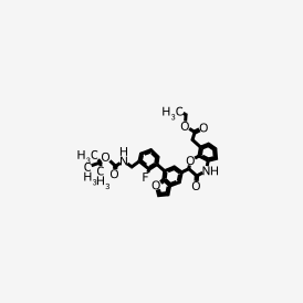 CCOC(=O)Cc1cccc2c1OC(c1cc(-c3cccc(CNC(=O)OC(C)(C)C)c3F)c3occc3c1)C(=O)N2